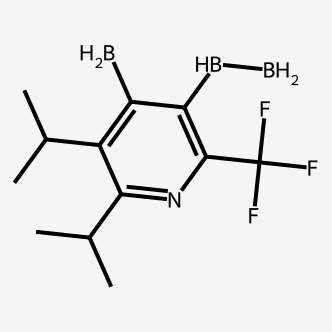 BBc1c(C(F)(F)F)nc(C(C)C)c(C(C)C)c1B